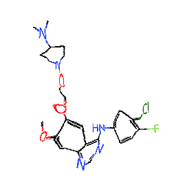 COc1cc2ncnc(Nc3ccc(F)c(Cl)c3)c2cc1OCCON1CCC(N(C)C)CC1